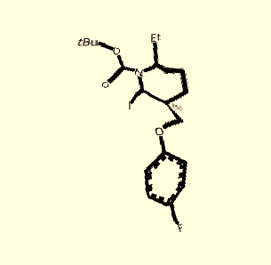 CCC1CC[C@@H](COc2ccc(F)cc2)C(I)N1C(=O)OC(C)(C)C